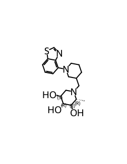 C[C@@H]1[C@@H](O)[C@H](O)[C@@H](O)CN1CC1CCCN(c2cccc3scnc23)C1